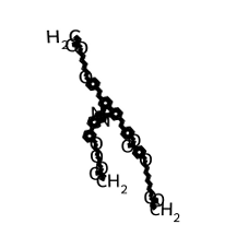 C=CC(=O)OCCCCCCCCOc1ccc(C(=O)Oc2ccc(CCc3ccc4c5ccc(CCc6ccc(OCCCCCCOC(=O)C=C)cc6)cc5c5nc6ccc(-c7cccc(OCCOCCOC(=O)C=C)c7)cc6nc5c4c3)cc2)cc1